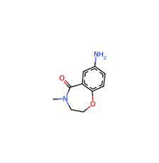 CN1CCOc2ccc(N)cc2C1=O